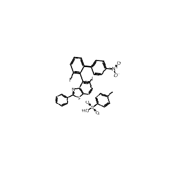 Cc1ccc(S(=O)(=O)O)cc1.O=[N+]([O-])c1ccc(-c2cccc(I)c2-c2c(I)ccc3sc(-c4ccccc4)nc23)cc1